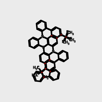 CC(C)(C)c1ccc(-c2ccccc2N2c3ccccc3B3c4ccc(-n5c6ccccc6c6ccccc65)cc4N(c4ccccc4-c4ccc(C(C)(C)C)cc4)c4cc(OC(F)(F)F)cc2c43)cc1